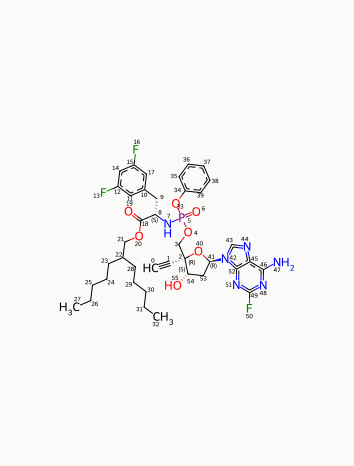 C#C[C@]1(COP(=O)(N[C@@H](Cc2cc(F)cc(F)c2)C(=O)OCC(CCCCC)CCCCC)Oc2ccccc2)O[C@@H](n2cnc3c(N)nc(F)nc32)C[C@@H]1O